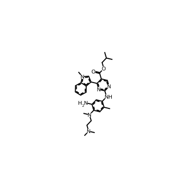 Cc1cc(N(C)CCN(C)C)c(N)cc1Nc1ncc(C(=O)OCC(C)C)c(-c2cn(C)c3ccccc23)n1